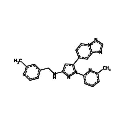 Cc1cc(CNc2cc(-c3ccn4ncnc4c3)n(-c3cccc(C)n3)n2)ccn1